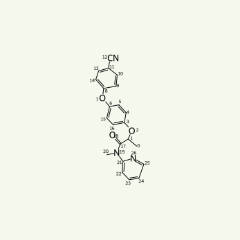 CC(Oc1ccc(Oc2ccc(C#N)cc2)cc1)C(=O)N(C)c1ccccn1